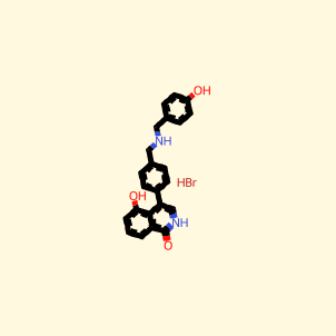 Br.O=c1[nH]cc(-c2ccc(CNCc3ccc(O)cc3)cc2)c2c(O)cccc12